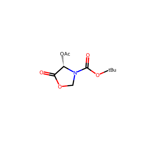 CC(=O)O[C@H]1C(=O)OCN1C(=O)OC(C)(C)C